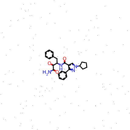 NC(=O)C(=O)C(Cc1ccccc1)NC(=O)c1cn(C2CCCC2)nc1-c1ccccc1